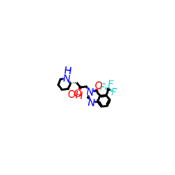 O=C(C[C@H]1NCCC[C@@H]1O)Cn1cnc2cccc(C(F)(F)F)c2c1=O